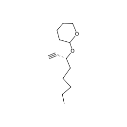 C#C[C@@H](CCCCC)OC1CCCCO1